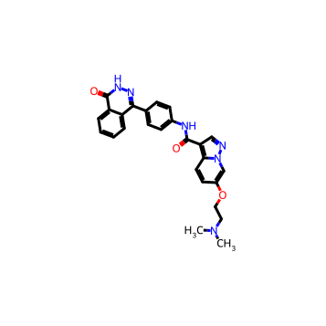 CN(C)CCOc1ccc2c(C(=O)Nc3ccc(-c4n[nH]c(=O)c5ccccc45)cc3)cnn2c1